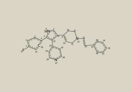 Fc1ccc(-c2[nH]cc(C3=CCN(C=Cc4ccccc4)CC3)c2-c2ccncc2)cc1